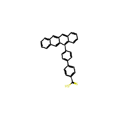 S=C(S)c1ccc(-c2ccc(-c3c4ccccc4cc4cc5ccccc5cc34)cc2)cc1